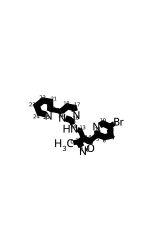 Cc1noc(-c2ccc(Br)cn2)c1CNc1nccc(-c2ccccn2)n1